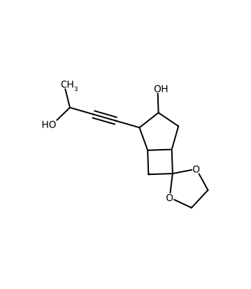 CC(O)C#CC1C(O)CC2C1CC21OCCO1